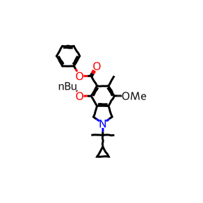 CCCCOc1c2c(c(OC)c(C)c1C(=O)Oc1ccccc1)CN(C(C)(C)C1CC1)C2